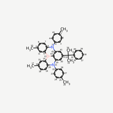 Cc1ccc(N2c3ccc(C)cc3B3c4cc(C)ccc4N(c4ccc(C)cc4)c4cc(C(C)(C)c5ccccc5)cc2c43)cc1